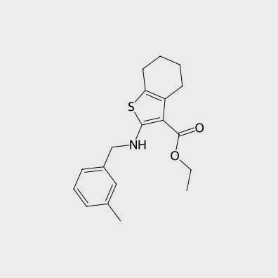 CCOC(=O)c1c(NCc2cccc(C)c2)sc2c1CCCC2